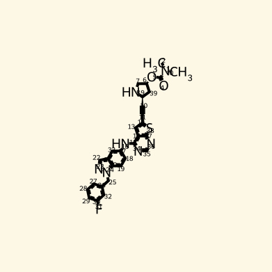 CN(C)C(=O)O[C@@H]1CN[C@H](C#Cc2cc3c(Nc4ccc5c(cnn5Cc5cccc(F)c5)c4)ncnc3s2)C1